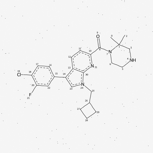 CC1(C)CNCCN1C(=O)c1ccc2c(-c3ccc(Cl)c(F)c3)cn(CC3CCC3)c2n1